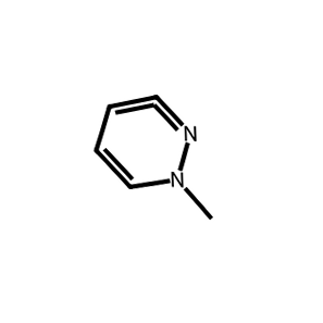 CN1C=CC=C=N1